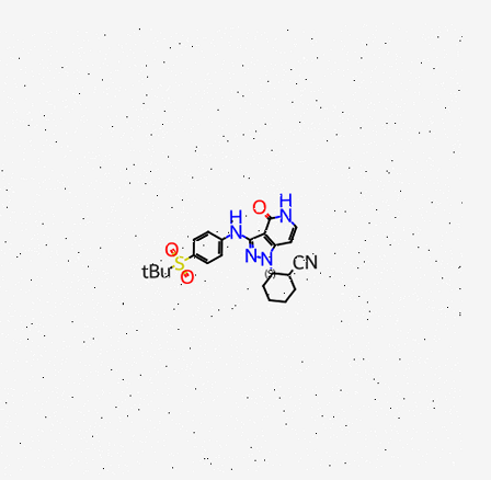 CC(C)(C)S(=O)(=O)c1ccc(Nc2nn([C@H]3CCCCC3C#N)c3cc[nH]c(=O)c23)cc1